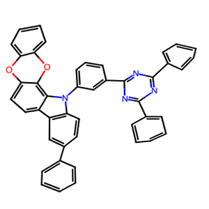 c1ccc(-c2ccc3c(c2)c2ccc4c(c2n3-c2cccc(-c3nc(-c5ccccc5)nc(-c5ccccc5)n3)c2)Oc2ccccc2O4)cc1